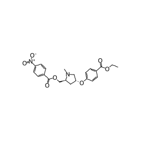 CCOC(=O)c1ccc(O[C@@H]2C[C@@H](COC(=O)c3ccc([N+](=O)[O-])cc3)N(C)C2)cc1